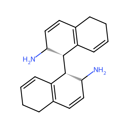 NC1C=CC2=C(C=CCC2)[C@@H]1[C@H]1C2=C(C=CC1N)CCC=C2